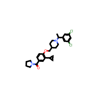 CC(c1cc(Cl)cc(Cl)c1)N1CCC(COc2ccc(C(=O)N3CCCC3)cc2C2CC2)CC1